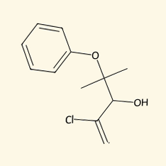 [CH]=C(Cl)C(O)C(C)(C)Oc1ccccc1